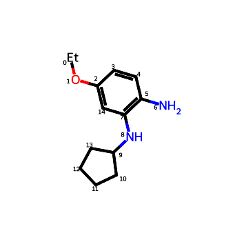 CCOc1ccc(N)c(NC2CCCC2)c1